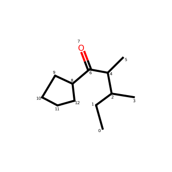 CCC(C)C(C)C(=O)C1CCCC1